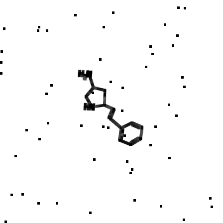 NC1CNC(C=Cc2ccccc2)C1